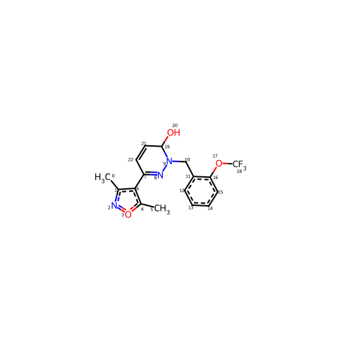 Cc1noc(C)c1C1=NN(Cc2ccccc2OC(F)(F)F)C(O)C=C1